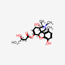 Cc1ccc(O)c2c1C13CCN(C)[C@H](C)[C@]1(O)CC=C(OC(=O)C[C@@H](O)C(=O)O)C3O2